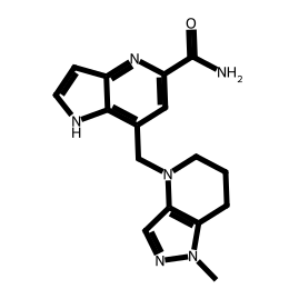 Cn1ncc2c1CCCN2Cc1cc(C(N)=O)nc2cc[nH]c12